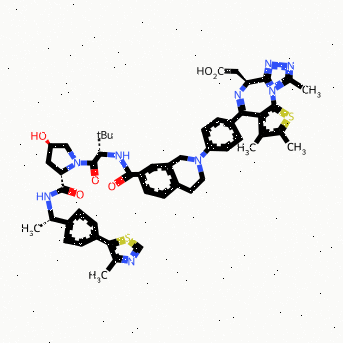 Cc1ncsc1-c1ccc([C@H](C)NC(=O)[C@@H]2C[C@@H](O)CN2C(=O)[C@@H](NC(=O)c2ccc3c(c2)CN(c2ccc(C4=N[C@@H](CC(=O)O)c5nnc(C)n5-c5sc(C)c(C)c54)cc2)CC3)C(C)(C)C)cc1